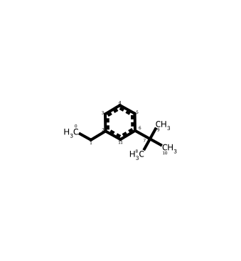 CCc1[c][c]cc(C(C)(C)C)c1